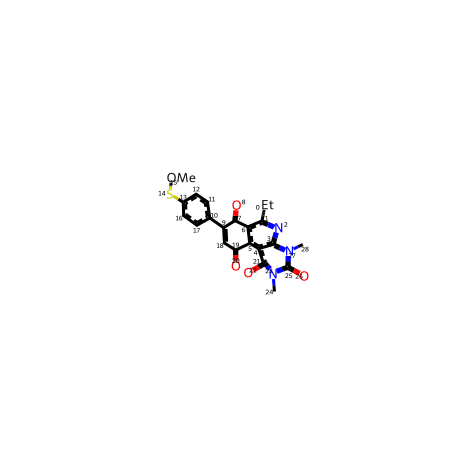 CCc1nc2c(c3c1C(=O)C(c1ccc(SOC)cc1)=CC3=O)c(=O)n(C)c(=O)n2C